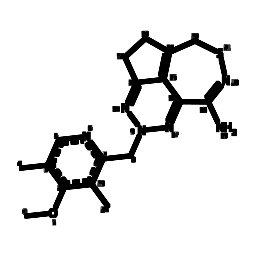 COc1c(C)cnc(CN2N=C3CCC4=C3C(=N2)C(N)=NSC4)c1C